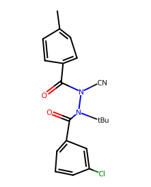 Cc1ccc(C(=O)N(C#N)N(C(=O)c2cccc(Cl)c2)C(C)(C)C)cc1